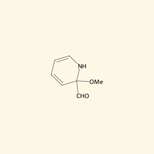 COC1(C=O)C=CC=CN1